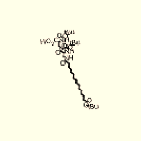 CC(C)(C)OC(=O)CCCCCCCCCCCCCCC(=O)NC[C@H](NC(=O)OC(C)(C)C)C(=O)NC[C@H](NC(=O)OC(C)(C)C)C(=O)O